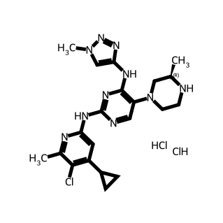 Cc1nc(Nc2ncc(N3CCN[C@H](C)C3)c(Nc3cn(C)nn3)n2)cc(C2CC2)c1Cl.Cl.Cl